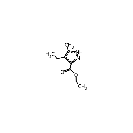 CCOC(=O)c1n[nH]c(C)c1CC